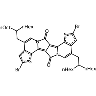 CCCCCCCCC(CCCCCC)CC1=CN2C(=O)C3=C4c5sc(Br)cc5C(CC(CCCCCC)CCCCCC)=CN4C(=O)C3=C2c2sc(Br)cc21